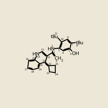 C=C(Nc1cc(O)c(C(C)(C)C)cc1C(C)(C)C)C1=CNc2ccccc2C1=C1CCC1